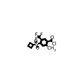 Cc1cc(S(=O)(=O)C2CCC2)c(C(F)(F)F)cc1C(=O)Cl